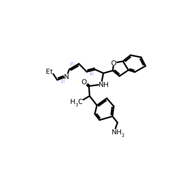 CC\C=N/C=C\C=C\C(NC(=O)C(C)c1ccc(CN)cc1)c1cc2ccccc2o1